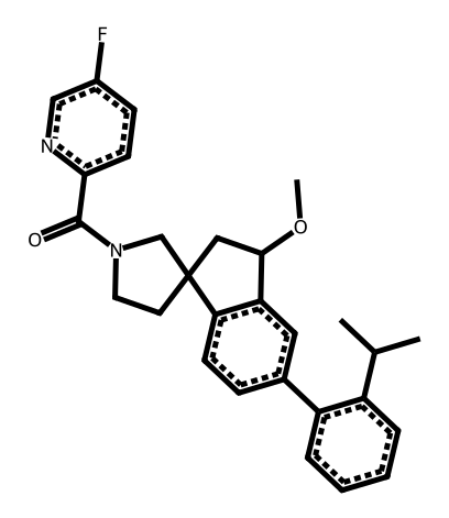 COC1CC2(CCN(C(=O)c3ccc(F)cn3)C2)c2ccc(-c3ccccc3C(C)C)cc21